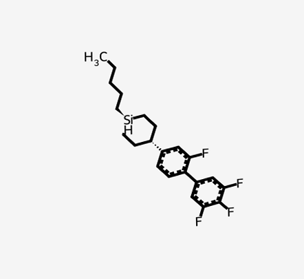 CCCCC[Si@H]1CC[C@H](c2ccc(-c3cc(F)c(F)c(F)c3)c(F)c2)CC1